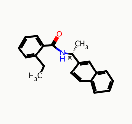 CCc1ccccc1C(=O)N[C@H](C)c1ccc2ccccc2c1